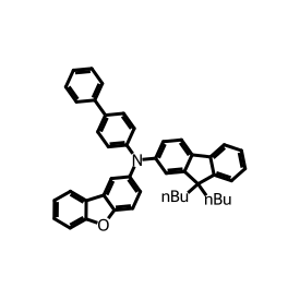 CCCCC1(CCCC)c2ccccc2-c2ccc(N(c3ccc(-c4ccccc4)cc3)c3ccc4oc5ccccc5c4c3)cc21